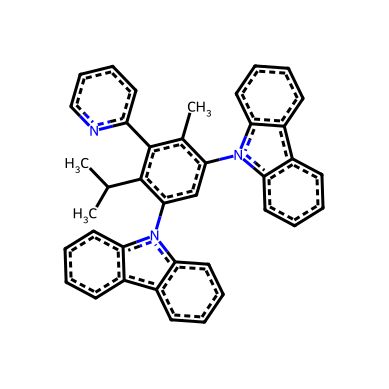 Cc1c(-n2c3ccccc3c3ccccc32)cc(-n2c3ccccc3c3ccccc32)c(C(C)C)c1-c1ccccn1